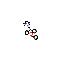 CC1(C)CCC(C)(C)N1CCC(c1ccccc1)c1ccccc1OCc1ccccc1